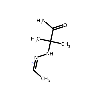 C/C=N\NC(C)(C)C(N)=O